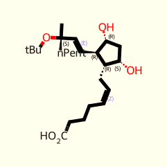 CCCCC[C@@](C)(/C=C/[C@@H]1[C@@H](C/C=C\CCCC(=O)O)[C@@H](O)C[C@H]1O)OC(C)(C)C